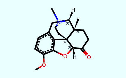 COc1ccc2c3c1O[C@H]1C(=O)CC[C@@]4(C)[C@@H](C2)N(C)CC[C@]314